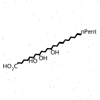 CCCCCC=CCCCCC=CCCC(O)CCCC(O)CC(O)CCCCCC(=O)O